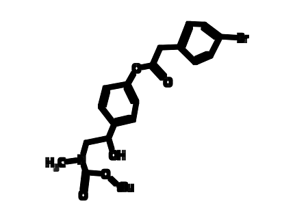 CN(CC(O)c1ccc(OC(=O)Cc2ccc(Br)cc2)cc1)C(=O)OC(C)(C)C